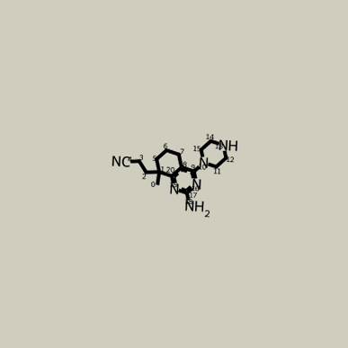 CC1(CCC#N)CCCc2c(N3CCNCC3)nc(N)nc21